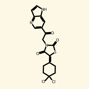 O=C(CN1C(=O)SC(=C2CCC(Cl)(Cl)CC2)C1=O)c1cnc2cc[nH]c2c1